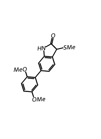 COc1ccc(OC)c(-c2ccc3c(c2)NC(=O)C3SC)c1